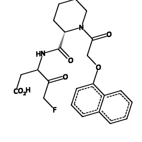 O=C(O)CC(NC(=O)[C@@H]1CCCCN1C(=O)COc1cccc2ccccc12)C(=O)CF